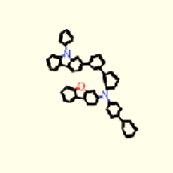 C1=C(N(c2ccc(-c3ccccc3)cc2)c2cccc(-c3cccc(-c4ccc5c6ccccc6n(-c6ccccc6)c5c4)c3)c2)CCc2c1oc1ccccc21